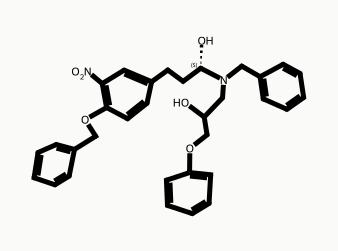 O=[N+]([O-])c1cc(CC[C@H](O)N(Cc2ccccc2)CC(O)COc2ccccc2)ccc1OCc1ccccc1